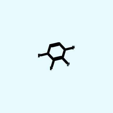 FC1=C(F)C(F)C=CC1F